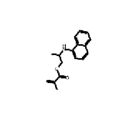 C=C(C)C(=O)OCC(C)Nc1cccc2ccccc12